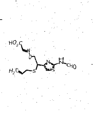 C=CCSC(CON=CC(=O)O)c1csc(NC=O)n1